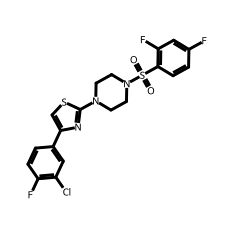 O=S(=O)(c1ccc(F)cc1F)N1CCN(c2nc(-c3ccc(F)c(Cl)c3)cs2)CC1